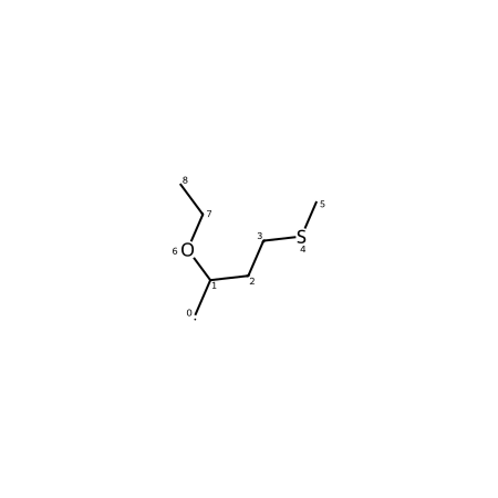 [CH2]C(CCSC)OCC